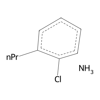 CCCc1ccccc1Cl.N